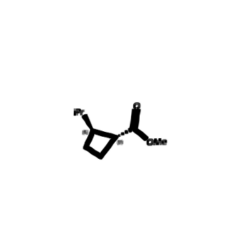 COC(=O)[C@@H]1CC[C@H]1C(C)C